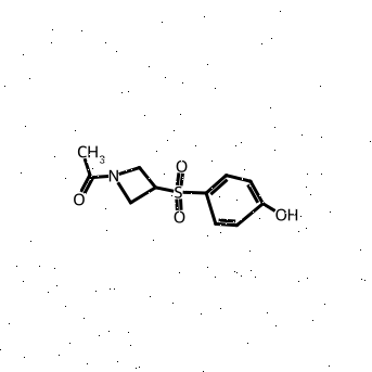 CC(=O)N1CC(S(=O)(=O)c2ccc(O)cc2)C1